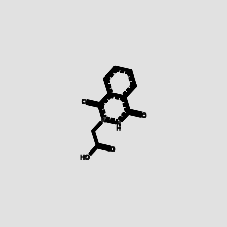 O=C(O)Cn1[nH]c(=O)c2ccccc2c1=O